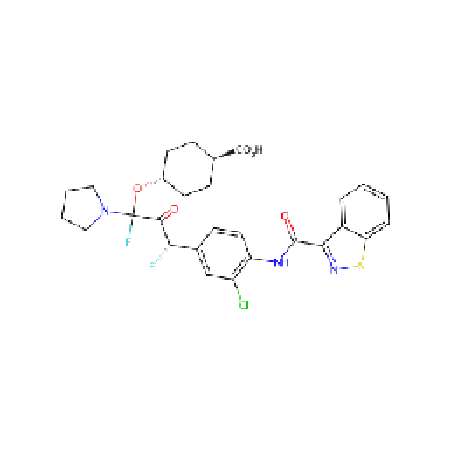 O=C(Nc1ccc([C@H](F)C(=O)C(F)(O[C@H]2CC[C@H](C(=O)O)CC2)N2CCCC2)cc1Cl)c1nsc2ccccc12